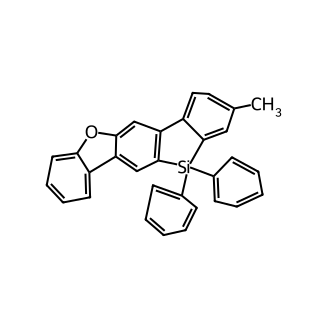 Cc1ccc2c(c1)[Si](c1ccccc1)(c1ccccc1)c1cc3c(cc1-2)oc1ccccc13